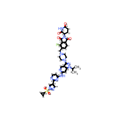 CC(C)n1nc(N2CCN(Cc3ccc4c(c3F)C(=O)N(C3CCC(=O)NC3=O)C4=O)CC2)c2cnc(Nc3ccnc(-c4cnn(S(=O)(=O)C5CC5)c4)n3)cc21